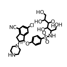 N#Cc1cc(Cl)cc2c1C[C@H](N1CCNCC1)[C@H]2Oc1ccc(S(=O)(=O)NC(CO)C(O)C(O)C(O)CO)cc1